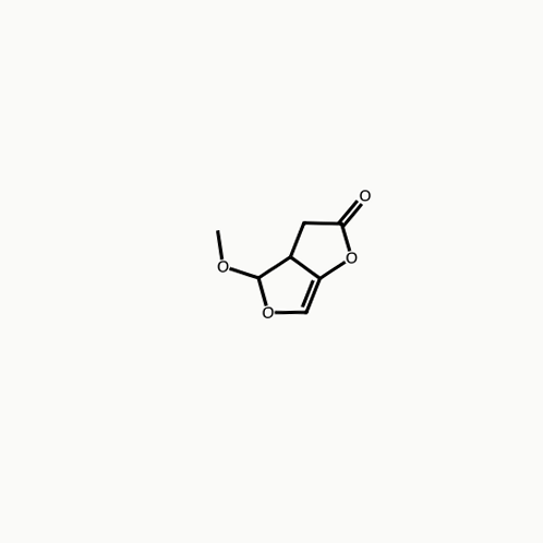 COC1OC=C2OC(=O)CC21